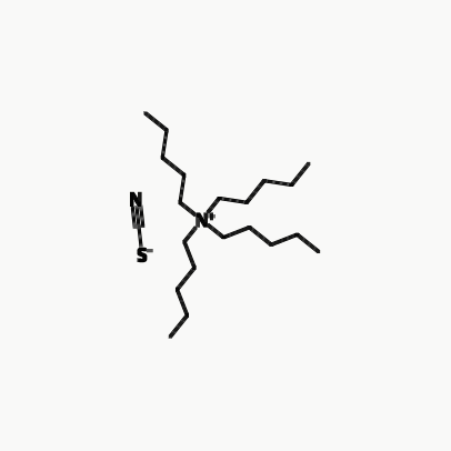 CCCCC[N+](CCCCC)(CCCCC)CCCCC.N#C[S-]